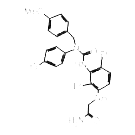 CCc1ccc(NCC(N)=O)c(CC)c1NC(=O)N(Cc1ccc(OC)cc1)c1ccc(C(C)C)cc1